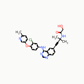 Cc1ccc(Oc2ccc(Nc3ncnc4ccc(C#CC(C)(C)NC(=O)CO)cc34)cc2Cl)cn1